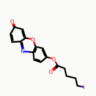 O=C(CCCCI)Oc1ccc2nc3ccc(=O)cc-3oc2c1